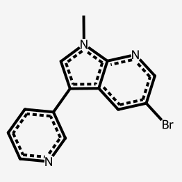 Cn1cc(-c2cccnc2)c2cc(Br)cnc21